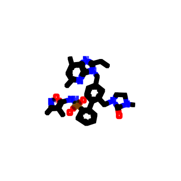 CCc1nc2c(C)cc(C)nc2n1Cc1ccc(-c2ccccc2S(=O)(=O)Nc2onc(C)c2C)c(CN2CCN(C)C2=O)c1